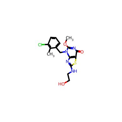 COc1nc(=O)c2sc(NCCO)nc2n1Cc1cccc(Cl)c1C